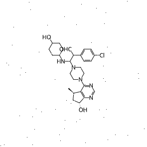 C[C@@H]1C[C@@H](O)c2ncnc(N3CCN(C(NC4CCC(O)CC4)C(C=O)c4ccc(Cl)cc4)CC3)c21